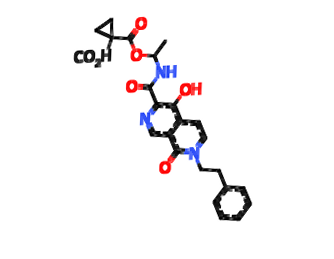 CC(NC(=O)c1ncc2c(=O)n(CCc3ccccc3)ccc2c1O)OC(=O)C1(C(=O)O)CC1